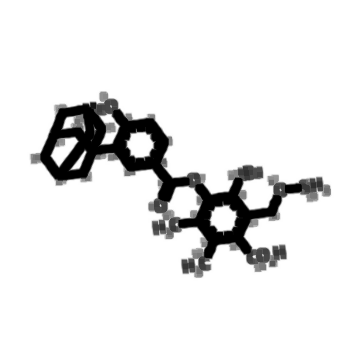 COc1ccc(C(=O)Oc2c(C)c(C)c(C(=O)O)c(CO[SiH3])c2C(C)(C)C)cc1C12CC3CC(CC(C3)C1)C2